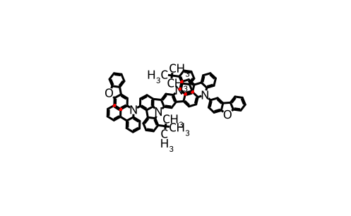 CC(C)(C)c1cccc2c3c(N(c4ccc5oc6ccccc6c5c4)c4ccccc4-c4ccccc4)ccc4c5cc6c(cc5n(c12)c43)c1ccc(N(c2ccc3oc4ccccc4c3c2)c2ccccc2-c2ccccc2)c2c3cccc(C(C)(C)C)c3n6c12